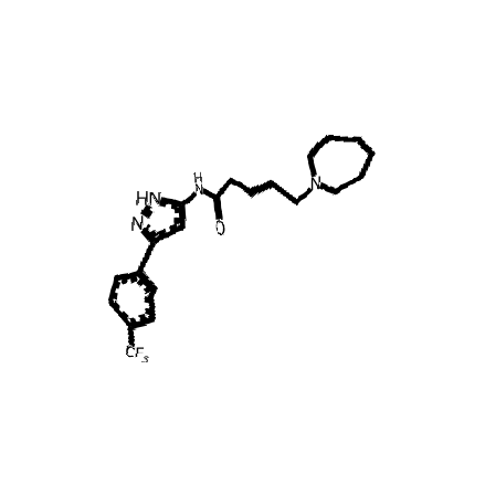 O=C(CCCCN1CCCCCC1)Nc1cc(-c2ccc(C(F)(F)F)cc2)n[nH]1